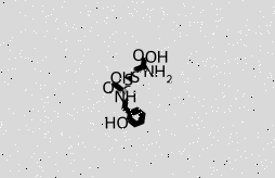 N[C@@H](CSSC[C@H](NCCc1ccccc1O)C(=O)O)C(=O)O